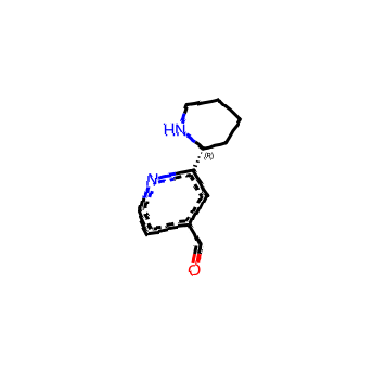 O=Cc1ccnc([C@H]2CCCCN2)c1